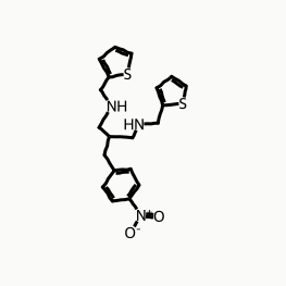 O=[N+]([O-])c1ccc(CC(CNCc2cccs2)CNCc2cccs2)cc1